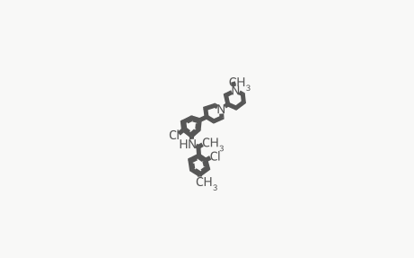 Cc1ccc(C(C)Nc2cc(C3CCN(C4CCCN(C)C4)CC3)ccc2Cl)c(Cl)c1